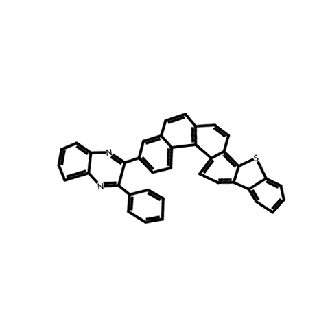 c1ccc(-c2nc3ccccc3nc2-c2ccc3c(ccc4ccc5c(ccc6c7ccccc7sc65)c43)c2)cc1